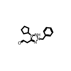 O=CCC1=NN(Cc2ccccc2)NN1C1CCCC1